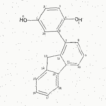 Oc1ccc(O)c(-c2cccc3c2Cc2ccccc2-3)c1